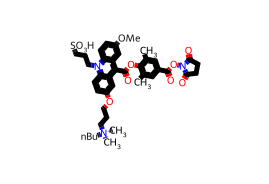 CCCC[N+](C)(C)CCCOc1ccc2c(c1)c(C(=O)Oc1c(C)cc(C(=O)ON3C(=O)CCC3=O)cc1C)c1cc(OC)ccc1[n+]2CCCS(=O)(=O)O